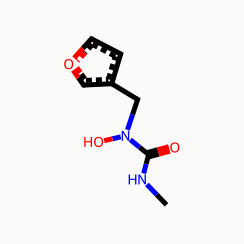 CNC(=O)N(O)Cc1ccoc1